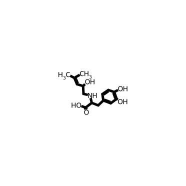 CC(C)=CC(O)CNC(Cc1ccc(O)c(O)c1)C(=O)O